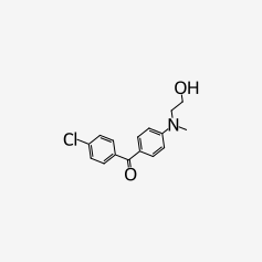 CN(CCO)c1ccc(C(=O)c2ccc(Cl)cc2)cc1